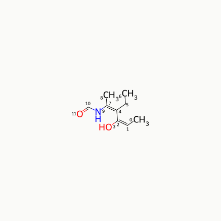 C/C=C(O)\C(CC)=C(\C)NC=O